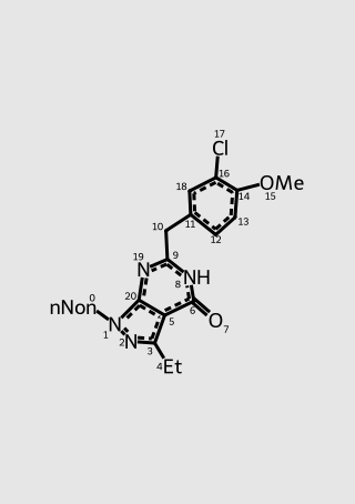 CCCCCCCCCn1nc(CC)c2c(=O)[nH]c(Cc3ccc(OC)c(Cl)c3)nc21